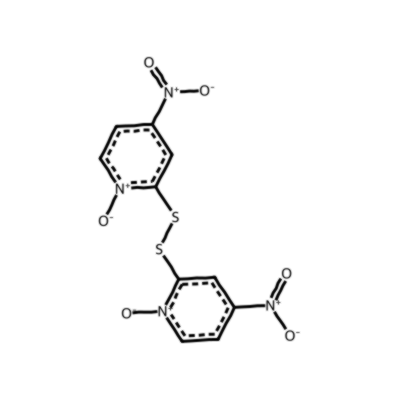 O=[N+]([O-])c1cc[n+]([O-])c(SSc2cc([N+](=O)[O-])cc[n+]2[O-])c1